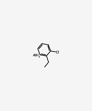 CCc1ccccc1Cl.[AlH3]